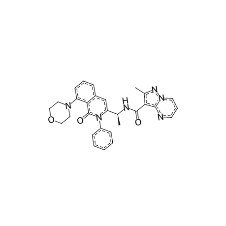 Cc1nn2cccnc2c1C(=O)N[C@@H](C)c1cc2cccc(N3CCOCC3)c2c(=O)n1-c1ccccc1